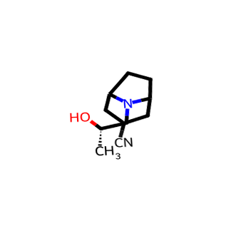 C[C@H](O)CN1C2CCC1CC(C#N)C2